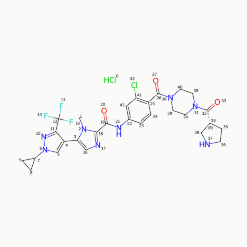 Cl.Cn1c(-c2cn(C3CC3)nc2C(F)(F)F)cnc1C(=O)Nc1ccc(C(=O)N2CCN(C(=O)[C@@H]3CCNC3)CC2)c(Cl)c1